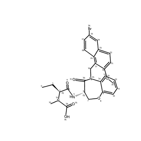 CC[C@@H](C(=O)N[C@H]1COc2ccccc2N(Cc2c(OC)ccc3cc(Br)ccc23)C1=O)N(C)C(=O)O